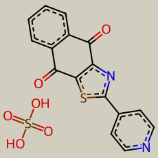 O=C1c2ccccc2C(=O)c2sc(-c3ccncc3)nc21.O=S(=O)(O)O